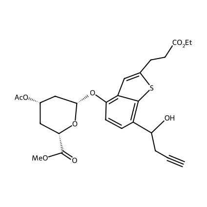 C#CCC(O)c1ccc(O[C@H]2C[C@@H](OC(C)=O)C[C@@H](C(=O)OC)O2)c2cc(CCC(=O)OCC)sc12